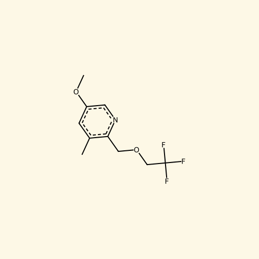 COc1cnc(COCC(F)(F)F)c(C)c1